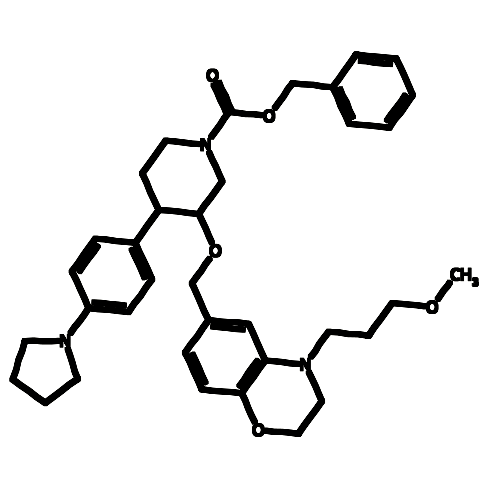 COCCCN1CCOc2ccc(COC3CN(C(=O)OCc4ccccc4)CCC3c3ccc(N4CCCC4)cc3)cc21